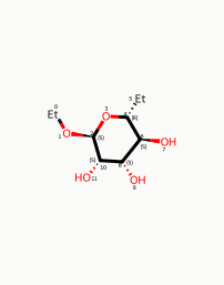 CCO[C@H]1O[C@H](CC)[C@@H](O)[C@H](O)[C@@H]1O